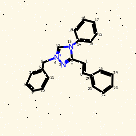 C(=Cc1n[n+](Cc2ccccc2)cn1-c1ccccc1)c1ccccc1